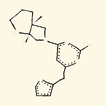 Nc1nc(Cc2cccs2)cc(N2C[C@H]3CCCN[C@H]3C2)n1